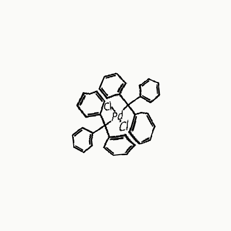 [Cl][Pd]([Cl])([C](c1ccccc1)(c1ccccc1)c1ccccc1)[C](c1ccccc1)(c1ccccc1)c1ccccc1